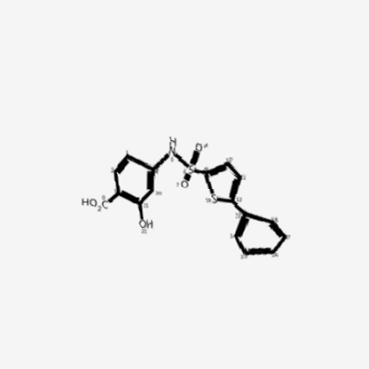 O=C(O)c1ccc(NS(=O)(=O)c2ccc(-c3ccccc3)s2)cc1O